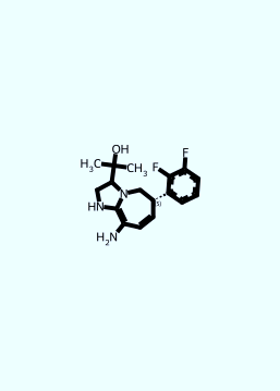 CC(C)(O)C1CNC2=C(N)C=C[C@@H](c3cccc(F)c3F)CN21